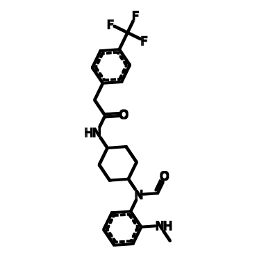 CNc1ccccc1N(C=O)C1CCC(NC(=O)Cc2ccc(C(F)(F)F)cc2)CC1